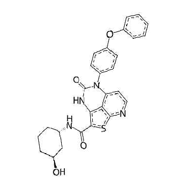 O=C(N[C@H]1CCC[C@H](O)C1)c1sc2nccc3c2c1NC(=O)N3c1ccc(Oc2ccccc2)cc1